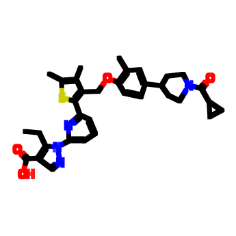 CCc1c(C(=O)O)cnn1-c1cccc(-c2sc(C)c(C)c2COc2ccc(C3CCN(C(=O)C4CC4)CC3)cc2C)n1